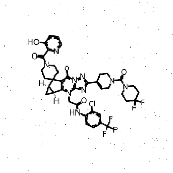 O=C(Cn1c2c(c(=O)n3nc(C4=CCN(C(=O)N5CCC(F)(F)CC5)CC4)nc13)C1(CCN(C(=O)c3ncccc3O)CC1)[C@@H]1C[C@H]21)Nc1ccc(C(F)(F)F)cc1Cl